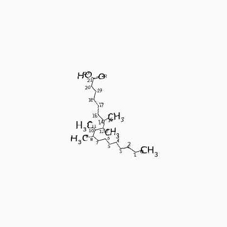 CCCCCCCCC(C)C(C)C(C)C(C)CCCCCC(=O)O